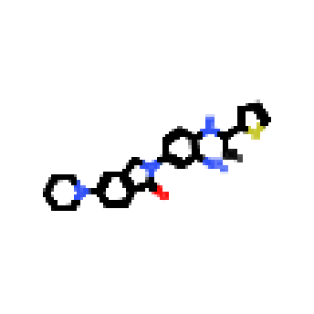 CC(Nc1ccc(N2Cc3cc(N4CCCCC4)ccc3C2=O)cc1N)c1cccs1